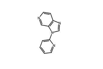 c1ccc(-n2cnc3ccncc32)nc1